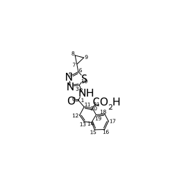 O=C(Nc1nnc(C2CC2)s1)c1ccc2ccccc2c1C(=O)O